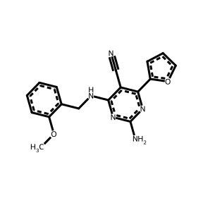 COc1ccccc1CNc1nc(N)nc(-c2ccco2)c1C#N